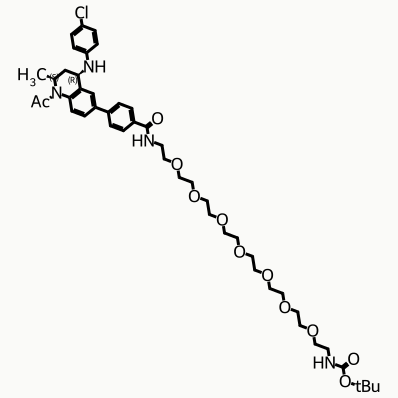 CC(=O)N1c2ccc(-c3ccc(C(=O)NCCOCCOCCOCCOCCOCCOCCOCCNC(=O)OC(C)(C)C)cc3)cc2[C@H](Nc2ccc(Cl)cc2)C[C@@H]1C